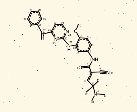 COc1ccc(NC(=O)/C(C#N)=C/C(C)(C)N(C)C)cc1Nc1nccc(Nc2ccccc2)n1